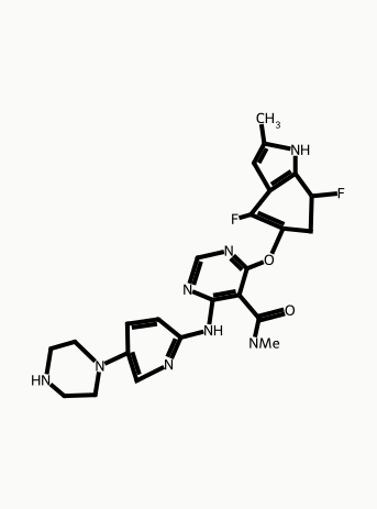 CNC(=O)c1c(Nc2ccc(N3CCNCC3)cn2)ncnc1OC1=C(F)c2cc(C)[nH]c2C(F)C1